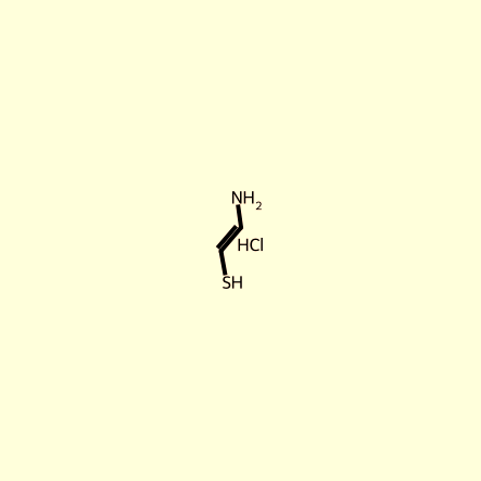 Cl.N/C=C/S